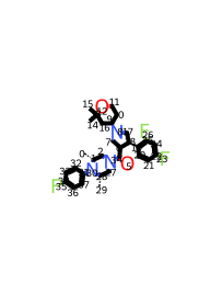 C[C@@H]1CN(C(=O)C2CN([C@H]3CCOC(C)(C)C3)C[C@H]2c2ccc(F)cc2F)C[C@H](C)N1c1ccc(F)cc1